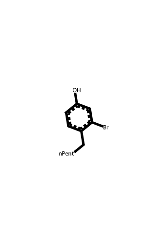 CCCCCCc1c[c]c(O)cc1Br